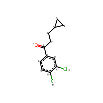 O=C(CCC1CC1)c1ccc(Cl)c(Cl)c1